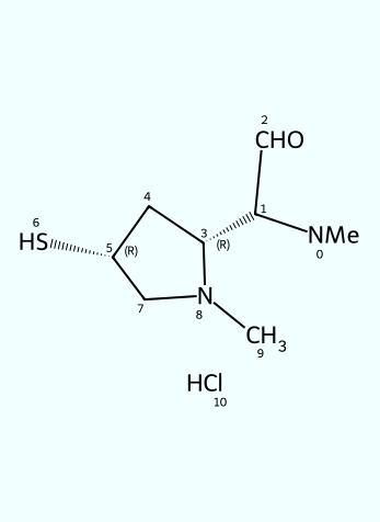 CNC(C=O)[C@H]1C[C@@H](S)CN1C.Cl